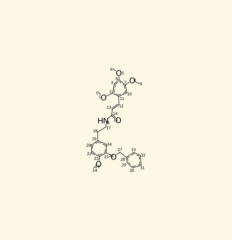 COc1cc(OC)c(OC)cc1/C=C/C(=O)NCCc1ccc(OC)c(OCc2ccccc2)c1